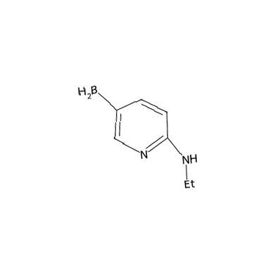 Bc1ccc(NCC)nc1